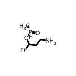 CCC(CCN)O[PH](C)=O